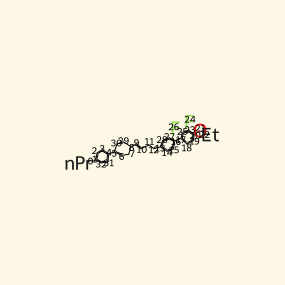 CCCc1ccc(C2=CCC(/C=C/CCc3ccc(-c4ccc(OCC)c(F)c4F)cc3)CC2)cc1